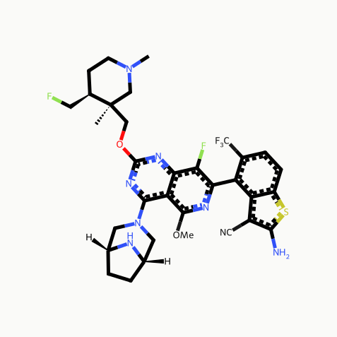 COc1nc(-c2c(C(F)(F)F)ccc3sc(N)c(C#N)c23)c(F)c2nc(OC[C@]3(C)CN(C)CC[C@@H]3CF)nc(N3C[C@H]4CC[C@@H](C3)N4)c12